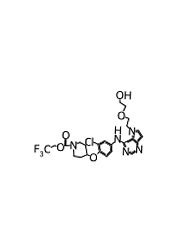 O=C(OCC(F)(F)F)N1CCC(Oc2ccc(Nc3ncnc4ccn(CCOCCO)c34)cc2Cl)CC1